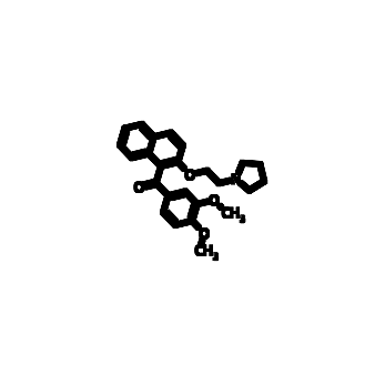 COc1ccc(C(=O)c2c(OCCN3CCCC3)ccc3ccccc23)cc1OC